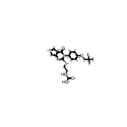 O=C(O)NCCSc1nc2cscc2c(=O)n1-c1ccc(OCC(F)(F)F)cc1